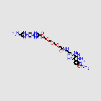 N=C(c1ccc2oc(N)nc2c1)c1c(N)ncnc1NCCCCNC(=O)CCOCCOCCOCCNC(=O)c1cnc(N2CCN(c3ncc(CN)cn3)CC2)nc1